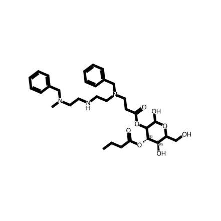 CCCC(=O)O[C@@H]1C(OC(=O)CCN(CCNCCN(C)Cc2ccccc2)Cc2ccccc2)C(O)OC(CO)[C@H]1O